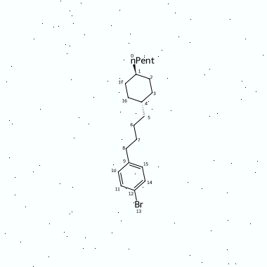 CCCCC[C@H]1CC[C@H](CCCCc2ccc(Br)cc2)CC1